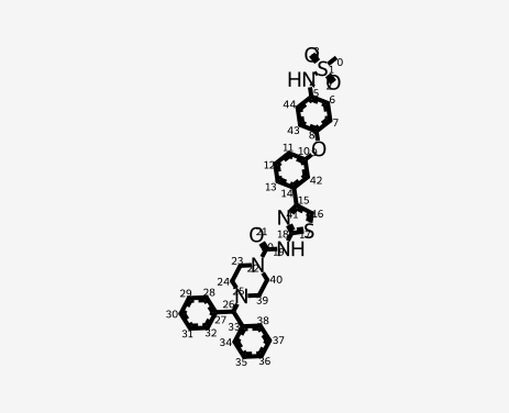 CS(=O)(=O)Nc1ccc(Oc2cccc(-c3csc(NC(=O)N4CCN(C(c5ccccc5)c5ccccc5)CC4)n3)c2)cc1